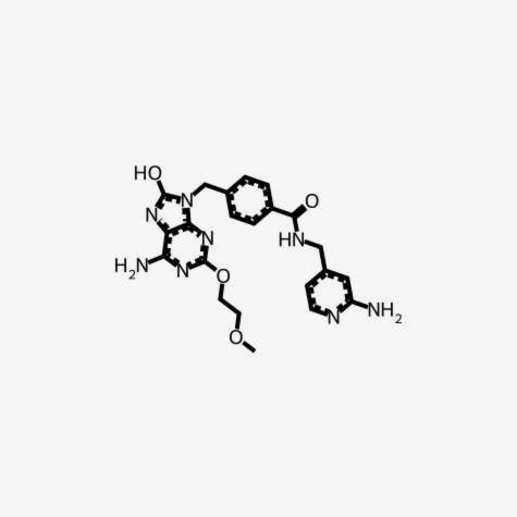 COCCOc1nc(N)c2nc(O)n(Cc3ccc(C(=O)NCc4ccnc(N)c4)cc3)c2n1